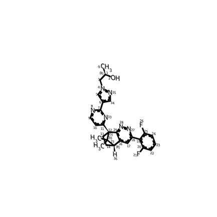 C[C@@H](O)Cn1cc(-c2nccc([C@@]34CC[C@@H](c5cc(-c6c(F)cccc6F)nnc53)C4(C)C)n2)cn1